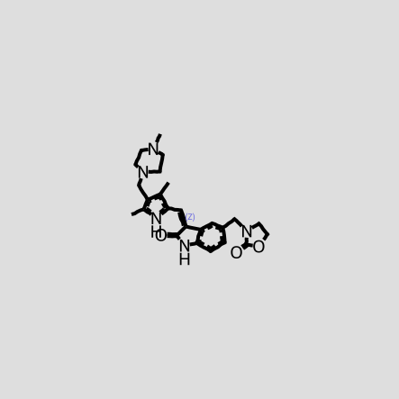 Cc1[nH]c(/C=C2\C(=O)Nc3ccc(CN4CCOC4=O)cc32)c(C)c1CN1CCN(C)CC1